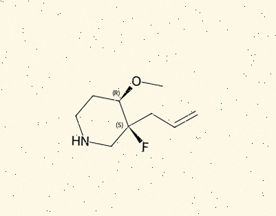 C=CC[C@]1(F)CNCC[C@H]1OC